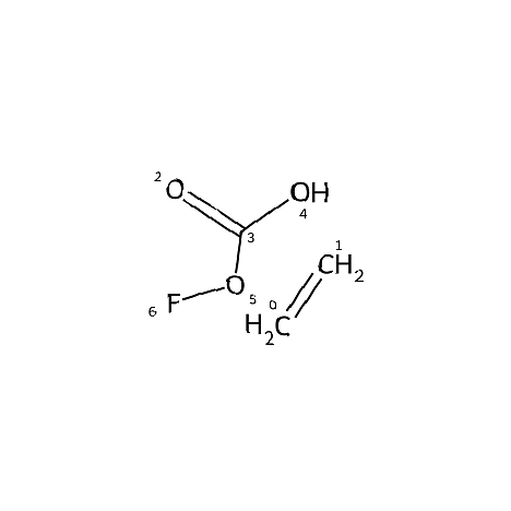 C=C.O=C(O)OF